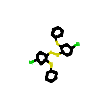 Clc1ccc(SSc2ccc(Cl)cc2Sc2ccccc2)c(Sc2ccccc2)c1